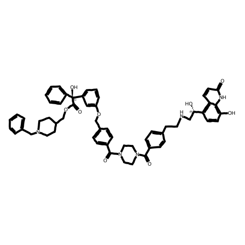 O=C(c1ccc(CCNC[C@H](O)c2ccc(O)c3[nH]c(=O)ccc23)cc1)N1CCN(C(=O)c2ccc(COc3cccc([C@](O)(C(=O)OCC4CCN(Cc5ccccc5)CC4)c4ccccc4)c3)cc2)CC1